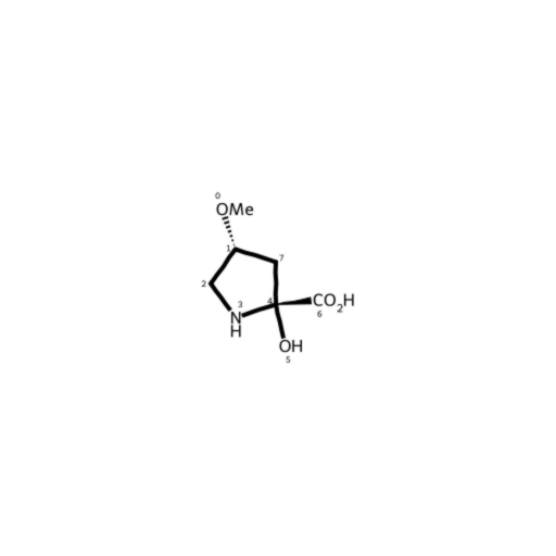 CO[C@H]1CN[C@](O)(C(=O)O)C1